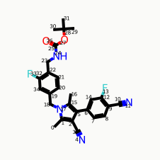 Cc1c(C#N)c(-c2ccc(C#N)c(F)c2)c(C)n1Cc1ccc(CNC(=O)OC(C)(C)C)c(F)c1